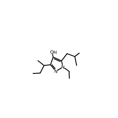 CCC(C)c1nn(CC)c(CC(C)C)c1O